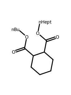 CCCCCCCOC(=O)C1CCCCC1C(=O)OCCCC